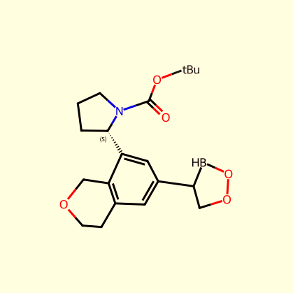 CC(C)(C)OC(=O)N1CCC[C@H]1c1cc(C2BOOC2)cc2c1COCC2